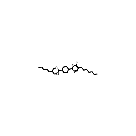 CCCCCCCc1cnc(C2CCC(C3OCC(CCCCC)CO3)CC2)nc1F